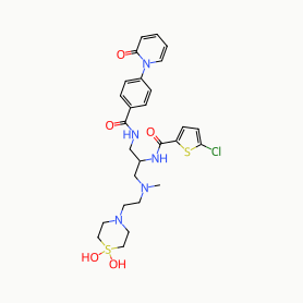 CN(CCN1CCS(O)(O)CC1)CC(CNC(=O)c1ccc(-n2ccccc2=O)cc1)NC(=O)c1ccc(Cl)s1